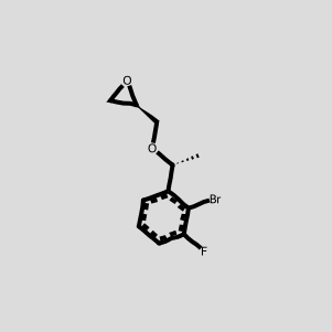 C[C@@H](OC[C@H]1CO1)c1cccc(F)c1Br